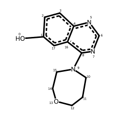 Oc1ccc2ncnc(N3CCCOCC3)c2c1